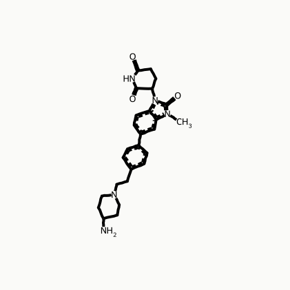 Cn1c(=O)n(C2CCC(=O)NC2=O)c2ccc(-c3ccc(CCN4CCC(N)CC4)cc3)cc21